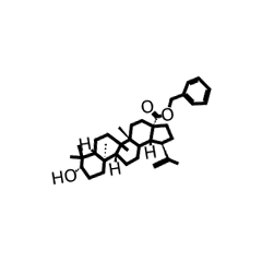 C=C(C)[C@@H]1CC[C@]2(C(=O)OCc3ccccc3)CC[C@]3(C)C(CC[C@H]4C3(C)CC[C@H]3C(C)(C)[C@@H](O)CC[C@@]34C)[C@@H]12